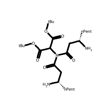 CCCCC[C@H](N)CC(=O)N(C(=O)C[C@@H](N)CCCCC)C(C(=O)OC(C)(C)C)C(=O)OC(C)(C)C